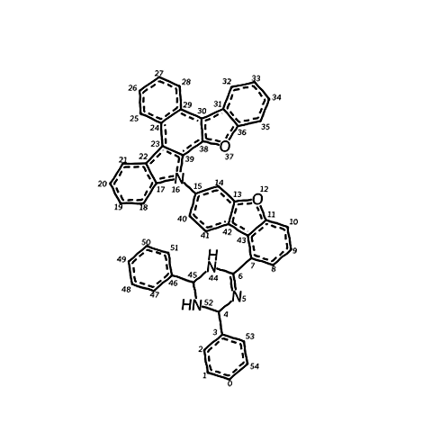 c1ccc(C2N=C(c3cccc4oc5cc(-n6c7ccccc7c7c8ccccc8c8c9ccccc9oc8c76)ccc5c34)NC(c3ccccc3)N2)cc1